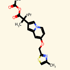 CCCC(C)(C(=O)OC(=O)C(C)(C)C)c1cc2cc(OCc3nc(C)cs3)ccn2c1